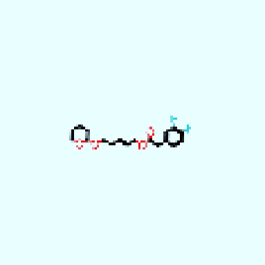 O=C(Cc1ccc(F)c(F)c1)OC/C=C/CCO[C@@H]1CCCCO1